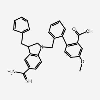 COc1ccc(-c2ccccc2CN2CC(Cc3ccccc3)c3cc(C(=N)N)ccc32)c(C(=O)O)c1